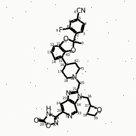 CC1(c2ccc(C#N)cc2F)Oc2cccc(C3CCN(Cc4nc5cc(-c6noc(=O)[nH]6)ncc5n4CC4CCO4)CC3)c2O1